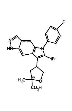 CC(C)c1c(C2CO[C@](C)(C(=O)O)C2)c2cc3[nH]ncc3cc2n1-c1ccc(F)cc1